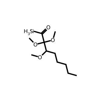 CCCCCC(OC)C(OC)(OC)C(=O)[SiH3]